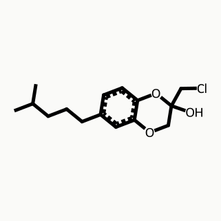 CC(C)CCCc1ccc2c(c1)OCC(O)(CCl)O2